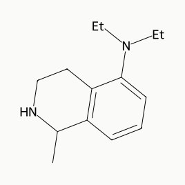 CCN(CC)c1cccc2c1CCNC2C